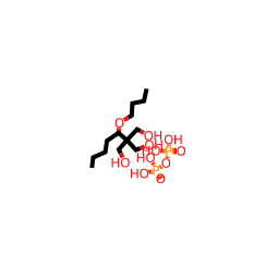 CCCCOC(CCCC)C(CO)(CO)CO.O=P(O)(O)OP(=O)(O)O